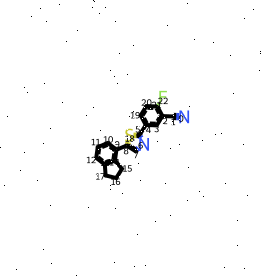 N#Cc1cc(-c2ncc(-c3cccc4c3CCC4)s2)ccc1F